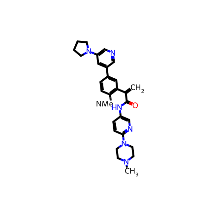 C=C(C(=O)Nc1ccc(N2CCN(C)CC2)nc1)c1cc(-c2cncc(N3CCCC3)c2)ccc1NC